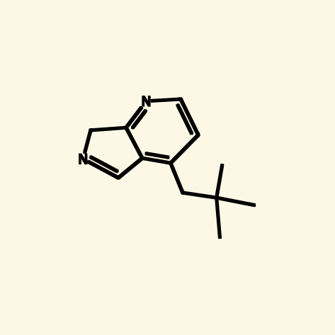 CC(C)(C)Cc1ccnc2c1C=NC2